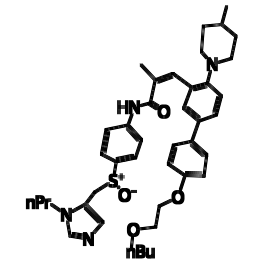 CCCCOCCOc1ccc(-c2ccc(N3CCC(C)CC3)c(C=C(C)C(=O)Nc3ccc([S+]([O-])Cc4cncn4CCC)cc3)c2)cc1